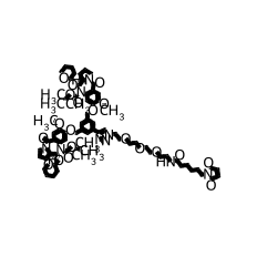 COc1cc2c(cc1OCc1cc(COc3cc4c(cc3OC)C(=O)N3CCC[C@H]3[C@H](OC3CCCCO3)N4C(=O)OC(C)(C)C)cc(-c3cn(CCOCCOCCOCCNC(=O)CCCCCN4C(=O)C=CC4=O)nn3)c1)N(C(=O)OC(C)(C)C)C(OC1CCCCO1)[C@@H]1CCCN1C2=O